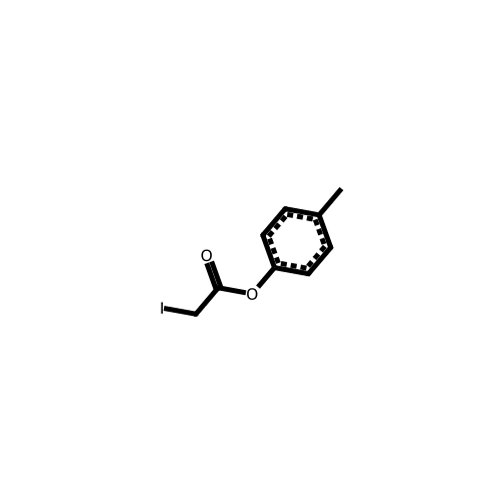 Cc1ccc(OC(=O)CI)cc1